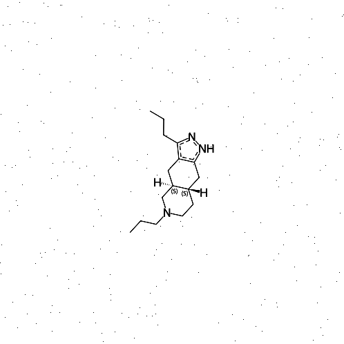 CCCc1n[nH]c2c1C[C@@H]1CN(CCC)CC[C@H]1C2